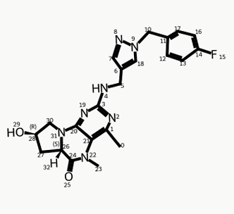 Cc1nc(NCc2cnn(Cc3ccc(F)cc3)c2)nc2c1N(C)C(=O)[C@@H]1C[C@@H](O)CN21